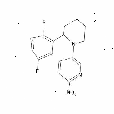 O=[N+]([O-])c1ccc(N2CCCCC2c2cc(F)ccc2F)cn1